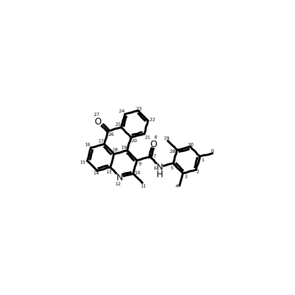 Cc1cc(C)c(NC(=O)c2c(C)nc3cccc4c3c2-c2ccccc2C4=O)c(C)c1